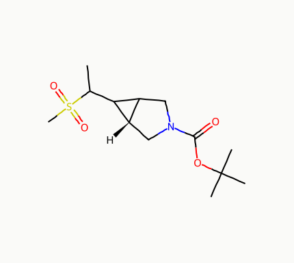 CC(C1C2CN(C(=O)OC(C)(C)C)C[C@@H]21)S(C)(=O)=O